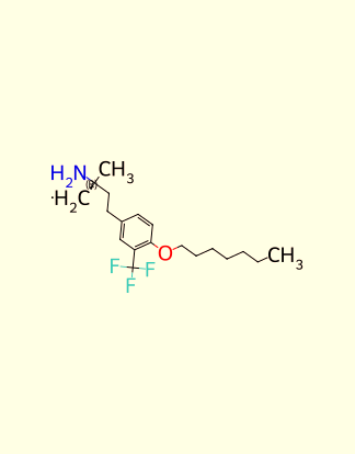 [CH2][C@](C)(N)CCc1ccc(OCCCCCCC)c(C(F)(F)F)c1